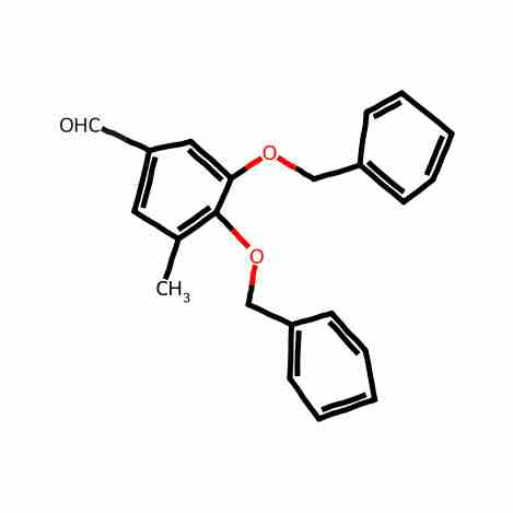 Cc1cc(C=O)cc(OCc2ccccc2)c1OCc1ccccc1